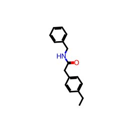 CCc1ccc(CC(=O)NCc2ccccc2)cc1